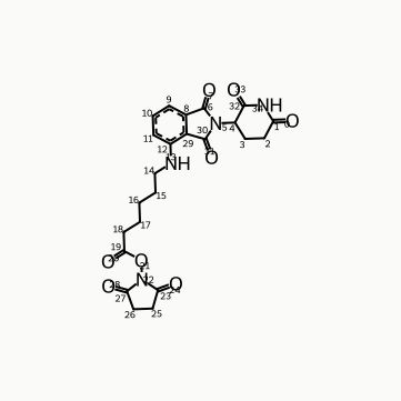 O=C1CCC(N2C(=O)c3cccc(NCCCCCC(=O)ON4C(=O)CCC4=O)c3C2=O)C(=O)N1